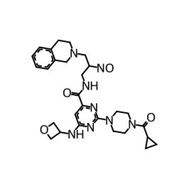 O=NC(CNC(=O)c1cc(NC2COC2)nc(N2CCN(C(=O)C3CC3)CC2)n1)CN1CCc2ccccc2C1